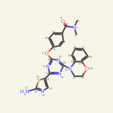 CN(C)C(=O)c1ccc(Oc2nc(-c3cnc(N)s3)nc(N3CCOc4ccccc43)n2)cc1